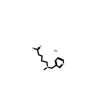 CN(CCCCC(=O)[O-])Cc1cccnc1.[Na+]